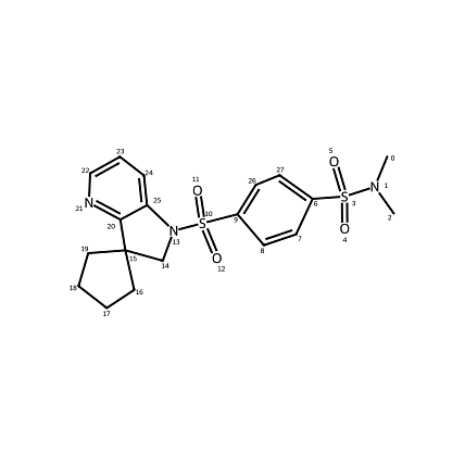 CN(C)S(=O)(=O)c1ccc(S(=O)(=O)N2CC3(CCCC3)c3ncccc32)cc1